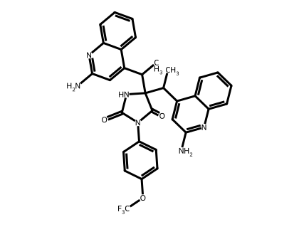 CC(c1cc(N)nc2ccccc12)C1(C(C)c2cc(N)nc3ccccc23)NC(=O)N(c2ccc(OC(F)(F)F)cc2)C1=O